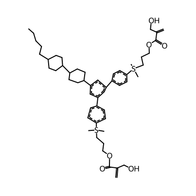 C=C(CO)C(=O)OCCCS(C)(C)c1ccc(-c2cc(-c3ccc(S(C)(C)CCCOC(=O)C(=C)CO)cc3)cc(C3CCC(C4CCC(CCCCC)CC4)CC3)c2)cc1